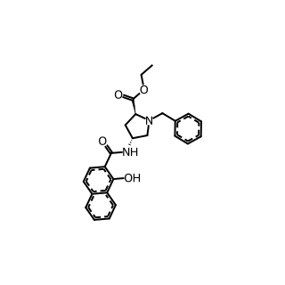 CCOC(=O)[C@@H]1C[C@@H](NC(=O)c2ccc3ccccc3c2O)CN1Cc1ccccc1